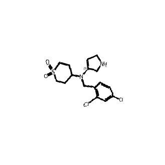 O=S1(=O)CCC(N(Cc2ccc(Cl)cc2Cl)[C@H]2CCNC2)CC1